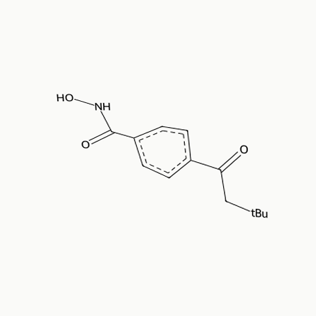 CC(C)(C)CC(=O)c1ccc(C(=O)NO)cc1